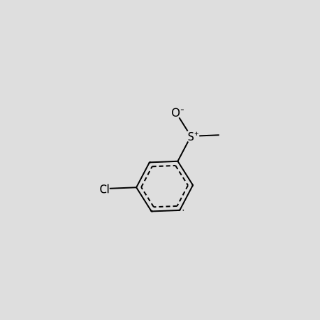 C[S+]([O-])c1c[c]cc(Cl)c1